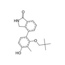 Cc1c(O)ccc(-c2cccc3c2CNC3=O)c1OCC(C)(C)C